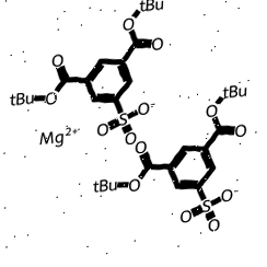 CC(C)(C)OC(=O)c1cc(C(=O)OC(C)(C)C)cc(S(=O)(=O)[O-])c1.CC(C)(C)OC(=O)c1cc(C(=O)OC(C)(C)C)cc(S(=O)(=O)[O-])c1.[Mg+2]